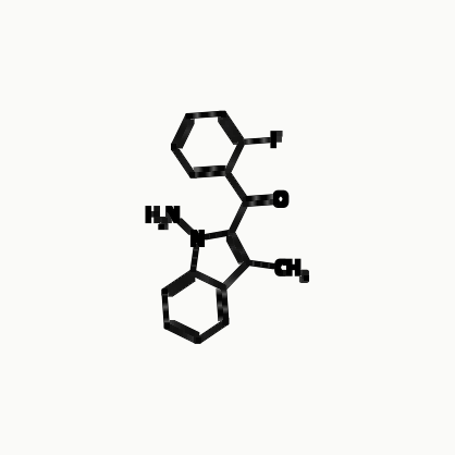 Cc1c(C(=O)c2ccccc2F)n(N)c2ccccc12